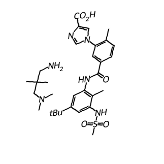 CN(C)CC(C)(C)CN.Cc1ccc(C(=O)Nc2cc(C(C)(C)C)cc(NS(C)(=O)=O)c2C)cc1-n1cnc(C(=O)O)c1